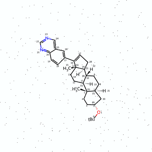 CC(C)(C)O[C@@H]1CC[C@@]2(C)[C@@H](CC[C@@H]3[C@@H]2CC[C@]2(C)C(c4ccc5ncncc5c4)=CC[C@@H]32)C1